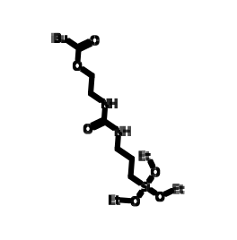 CCO[Si](CCCNC(=O)NCCOC(=O)C(C)CC)(OCC)OCC